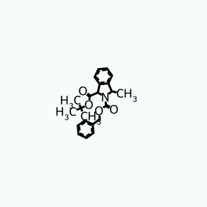 CC1c2ccccc2C(C(=O)OC(C)(C)C)N1C(=O)OCc1ccccc1